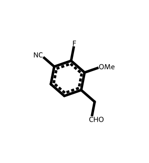 COc1c(CC=O)ccc(C#N)c1F